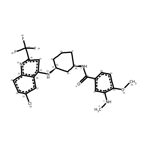 CNc1cc(C(=O)N[C@@H]2CCC[C@H](Nc3cc(C(F)(F)F)nc4ccc(Cl)cc34)C2)ccc1OC